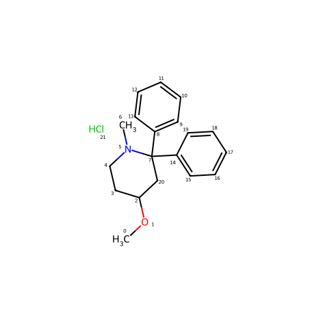 COC1CCN(C)C(c2ccccc2)(c2ccccc2)C1.Cl